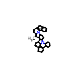 C#C/C=C\c1c(C)c2c3c4ccccc4n(-c4ccccc4-c4ccccc4)c3ccc2n1-c1cccc2ccccc12